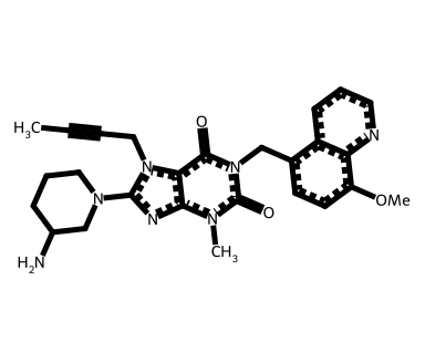 CC#CCn1c(N2CCCC(N)C2)nc2c1c(=O)n(Cc1ccc(OC)c3ncccc13)c(=O)n2C